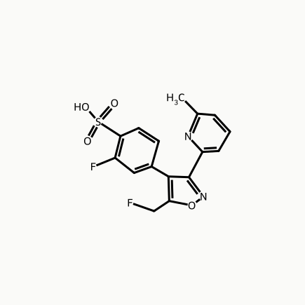 Cc1cccc(-c2noc(CF)c2-c2ccc(S(=O)(=O)O)c(F)c2)n1